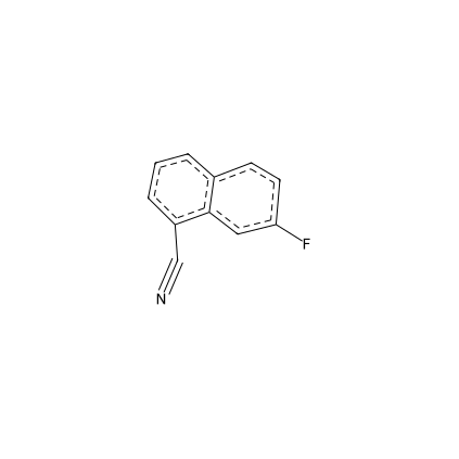 N#Cc1cccc2ccc(F)cc12